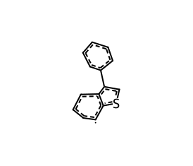 [c]1cccc2c(-c3ccccc3)csc12